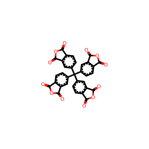 O=C1OC(=O)c2cc(C(c3ccc4c(c3)C(=O)OC4=O)(c3ccc4c(c3)C(=O)OC4=O)c3ccc4c(c3)C(=O)OC4=O)ccc21